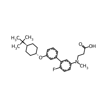 CN(CCC(=O)O)c1ccc(F)c(-c2cccc(O[C@H]3CC[C@H](C(C)(C)C)CC3)c2)c1